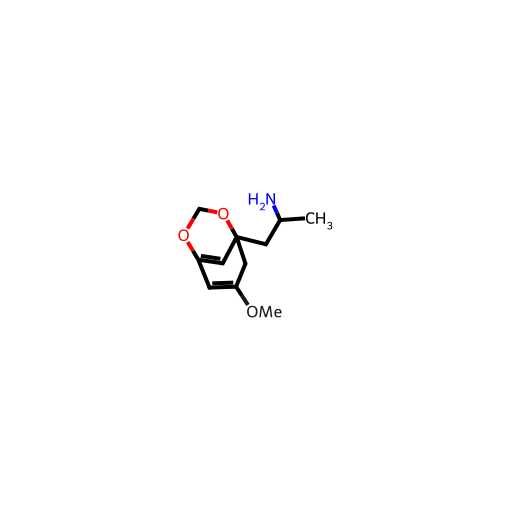 COC1=CC2=CC(CC(C)N)(C1)OCO2